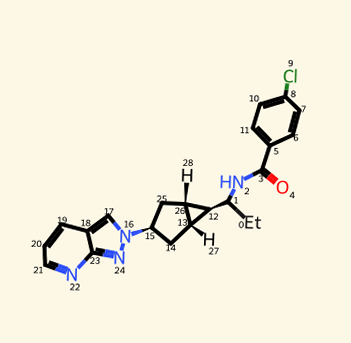 CCC(NC(=O)c1ccc(Cl)cc1)[C@H]1[C@@H]2C[C@@H](n3cc4cccnc4n3)C[C@@H]21